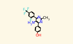 Cc1nc(-c2ccc(O)cc2)c(N)c(-c2ccc(C(F)(F)F)cc2F)n1